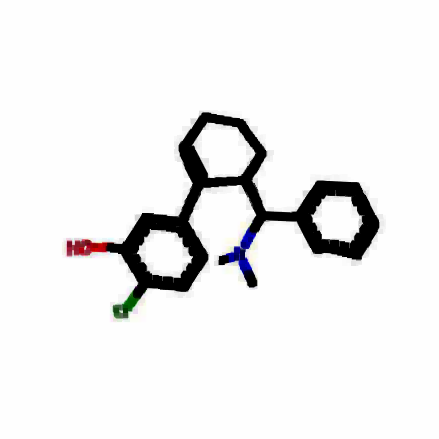 CN(C)C(c1ccccc1)C1CCCC=C1c1ccc(Cl)c(O)c1